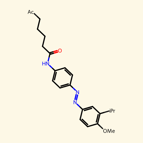 COc1ccc(N=Nc2ccc(NC(=O)CCCCC(C)=O)cc2)cc1C(C)C